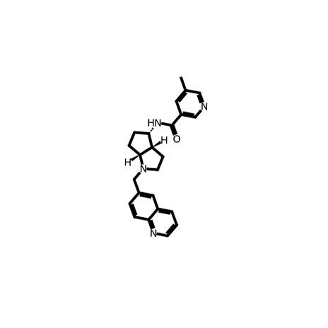 Cc1cncc(C(=O)N[C@H]2CC[C@@H]3[C@H]2CCN3Cc2ccc3ncccc3c2)c1